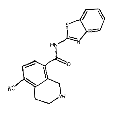 N#Cc1ccc(C(=O)Nc2nc3ccccc3s2)c2c1CCNC2